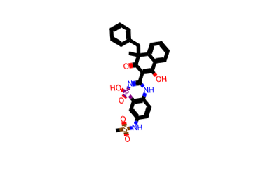 CC1(Cc2ccccc2)C(=O)C(C2=NP(=O)(O)c3cc(NS(C)(=O)=O)ccc3N2)=C(O)c2ccccc21